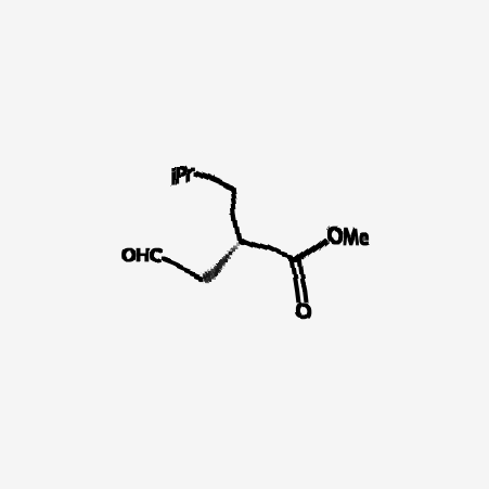 COC(=O)[C@H](CC=O)CC(C)C